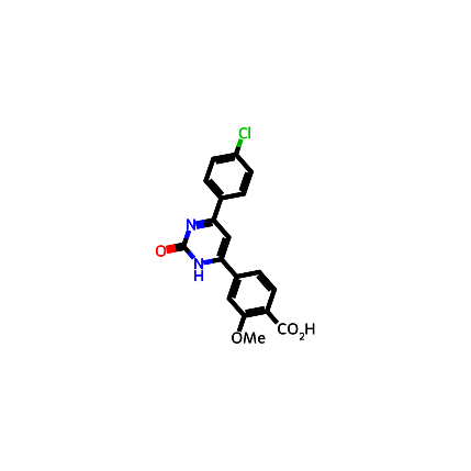 COc1cc(-c2cc(-c3ccc(Cl)cc3)nc(=O)[nH]2)ccc1C(=O)O